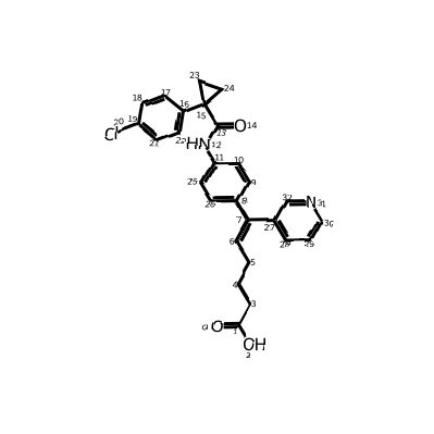 O=C(O)CCCC=C(c1ccc(NC(=O)C2(c3ccc(Cl)cc3)CC2)cc1)c1cccnc1